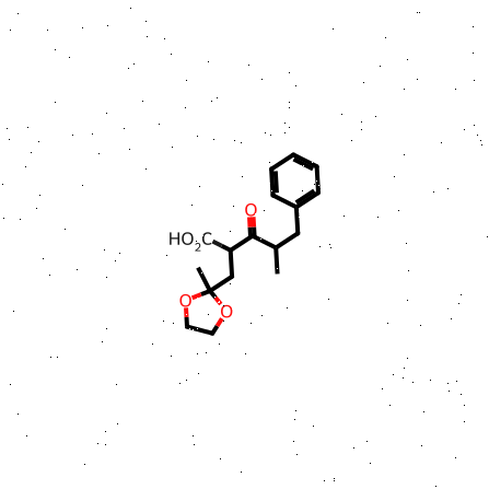 CC(Cc1ccccc1)C(=O)C(CC1(C)OCCO1)C(=O)O